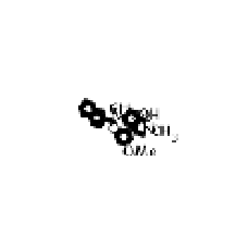 COc1cccc([C@@]23CCN(C)C[C@@]2(O)CC[C@H](N(C)C(=O)c2ccc4ccccc4c2)C3)c1